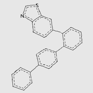 c1ccc(-c2ccc(-c3ccccc3-c3ccc4ncsc4c3)cc2)cc1